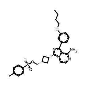 CCCCOc1cccc(-c2nc([C@H]3C[C@@H](COS(=O)(=O)c4ccc(C)cc4)C3)n3ccnc(N)c23)c1